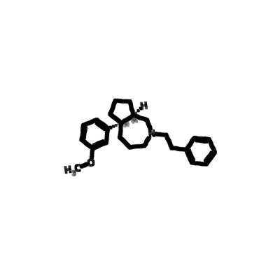 COc1cccc([C@]23CCC[C@H]2CN(CCc2ccccc2)CCC3)c1